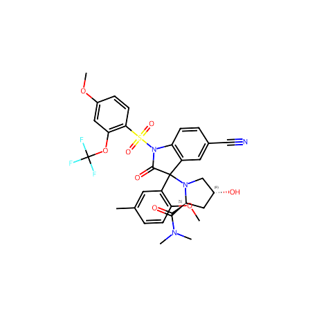 COc1ccc(S(=O)(=O)N2C(=O)C(c3cc(C)ccc3OC)(N3C[C@H](O)C[C@H]3C(=O)N(C)C)c3cc(C#N)ccc32)c(OC(F)(F)F)c1